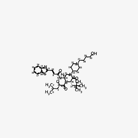 CC(C)C[C@H]1ON(C(=O)/C=C/c2nc3ccccc3s2)[C@H]2CN(C3CCN(CCCCO)CC3)C(=O)[C@H](CC(C)(C)C)N2C1=O